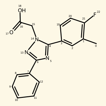 Cc1cc(-c2nc(-c3ccccc3)nn2CC(=O)O)ccc1F